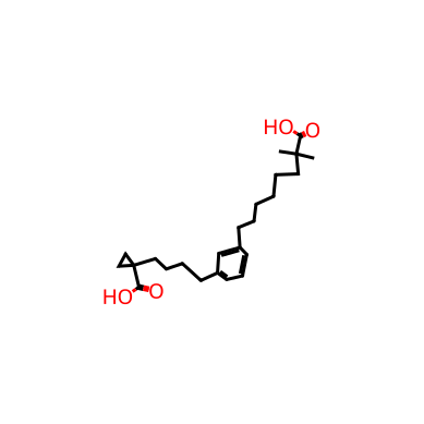 CC(C)(CCCCCCc1cccc(CCCCC2(C(=O)O)CC2)c1)C(=O)O